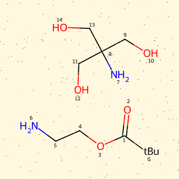 CC(C)(C)C(=O)OCCN.NC(CO)(CO)CO